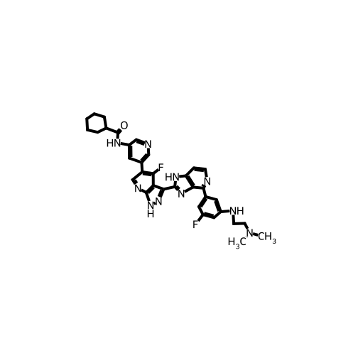 CN(C)CCNc1cc(F)cc(-c2nccc3[nH]c(-c4n[nH]c5ncc(-c6cncc(NC(=O)C7CCCCC7)c6)c(F)c45)nc23)c1